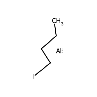 CCCCI.[Al]